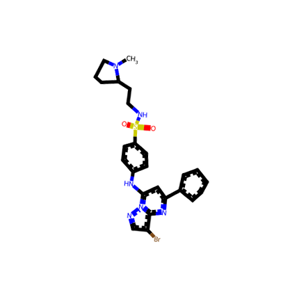 CN1CCCC1CCNS(=O)(=O)c1ccc(Nc2cc(-c3ccccc3)nc3c(Br)cnn23)cc1